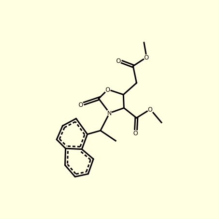 COC(=O)CC1OC(=O)N(C(C)c2cccc3ccccc23)C1C(=O)OC